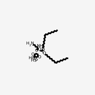 CCCCCCCC/C=C\CCCCCCCCOC[C@H](COC(=O)[C@@H](N)CCCN)OCCCCCCCC/C=C\CCCCCCCC.O=C1CCC(=O)C(SS)C1O